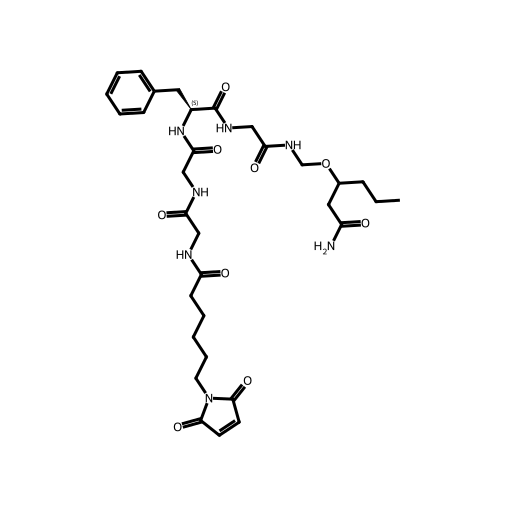 CCCC(CC(N)=O)OCNC(=O)CNC(=O)[C@H](Cc1ccccc1)NC(=O)CNC(=O)CNC(=O)CCCCCN1C(=O)C=CC1=O